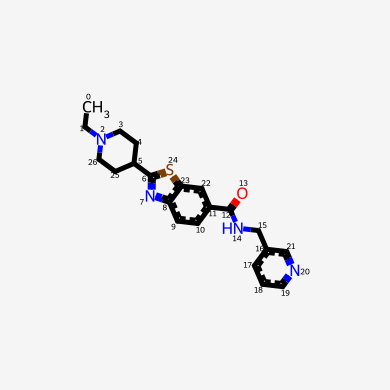 CCN1CCC(c2nc3ccc(C(=O)NCc4cccnc4)cc3s2)CC1